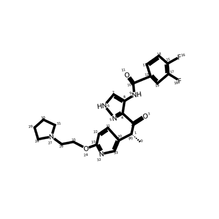 C[C@@H](C(=O)c1n[nH]cc1NC(=O)c1ccc(F)c(F)c1)c1ccc(OCCN2CCCC2)nc1